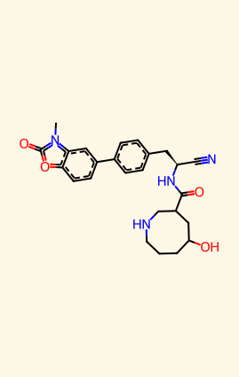 Cn1c(=O)oc2ccc(-c3ccc(C[C@@H](C#N)NC(=O)C4CNCCCC(O)C4)cc3)cc21